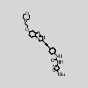 CC(C)(C)c1cc(NC(=O)Nc2ccc(C#Cc3cn4c(n3)sc3cc(OCCN5CCOCC5)ccc34)cc2)no1